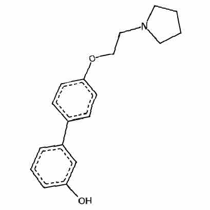 Oc1cccc(-c2ccc(OCCN3CCCC3)cc2)c1